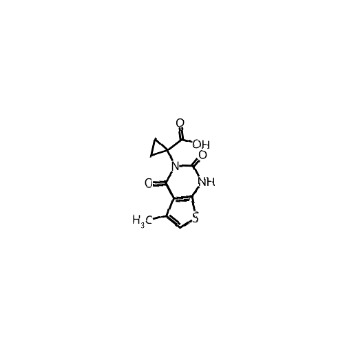 Cc1csc2[nH]c(=O)n(C3(C(=O)O)CC3)c(=O)c12